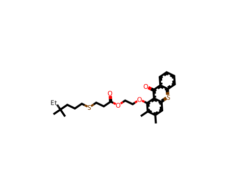 CCC(C)(C)CCCSCCC(=O)OCCOc1c(C)c(C)cc2sc3ccccc3c(=O)c12